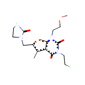 COCCn1c(=O)n(CCF)c(=O)c2c(C)c(CN3CCNC3=O)sc21